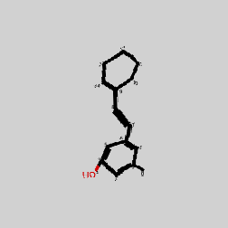 Cc1cc(O)cc(/C=C/C2CCCCC2)c1